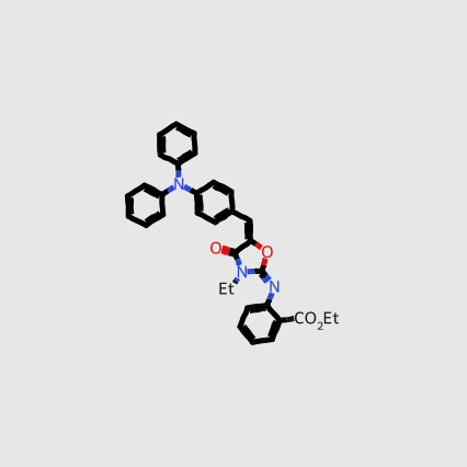 CCOC(=O)c1ccccc1/N=C1/O/C(=C/c2ccc(N(c3ccccc3)c3ccccc3)cc2)C(=O)N1CC